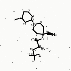 CC1CCCC(N2CCC(C#N)(NC(=O)C(N)CC(C)(C)C)CC2)C1